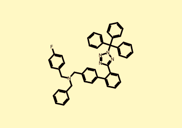 Fc1ccc(CN(Cc2ccccc2)Cc2ccc(-c3ccccc3-c3nnn(C(c4ccccc4)(c4ccccc4)c4ccccc4)n3)cc2)cc1